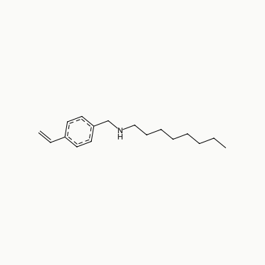 C=Cc1ccc(CNCCCCCCCC)cc1